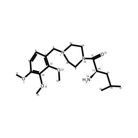 COc1ccc(CN2CCN(C(=O)[C@H](N)CC(C)C)CC2)c(OC)c1OC